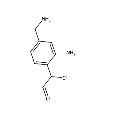 N.NCc1ccc(C(Cl)C=O)cc1